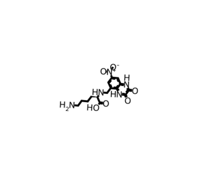 NCCCC[C@@H](NCc1cc([N+](=O)[O-])cc2[nH]c(=O)c(=O)[nH]c12)C(=O)O